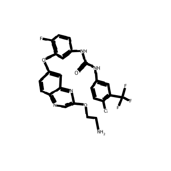 NCCOc1cnc2ccc(Oc3cc(NC(=O)Nc4ccc(Cl)c(C(F)(F)F)c4)ccc3F)cc2n1